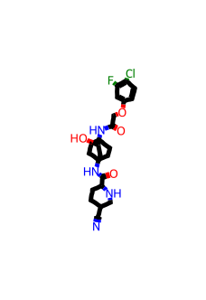 N#CC1CCC(C(=O)NC23CCC(NC(=O)COc4ccc(Cl)c(F)c4)(CC2)C(O)C3)NC1